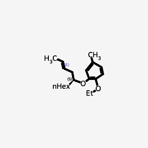 C/C=C/C[C@H](CCCCCC)Oc1cc(C)ccc1OCC